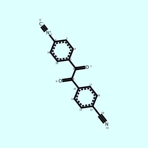 [C-]#[N+]c1ccc(C(=O)C(=O)c2ccc(C#N)cc2)cc1